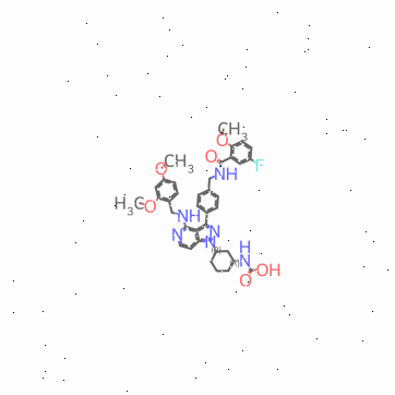 COc1ccc(CNc2nccc3c2c(-c2ccc(CNC(=O)c4cc(F)ccc4OC)cc2)nn3[C@@H]2CCC[C@@H](NC(=O)O)C2)c(OC)c1